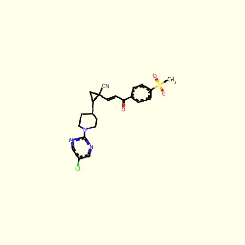 CS(=O)(=O)c1ccc(C(=O)C=CC2(C#N)CC2C2CCN(c3ncc(Cl)cn3)CC2)cc1